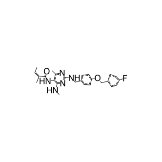 C/C=C(/C)C(=O)Nc1c(C)nc(NCc2ccc(OCc3ccc(F)cc3)cc2)nc1NC